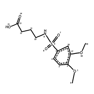 COc1ccc(S(=O)(=O)NCCCC(=O)O)cc1OC